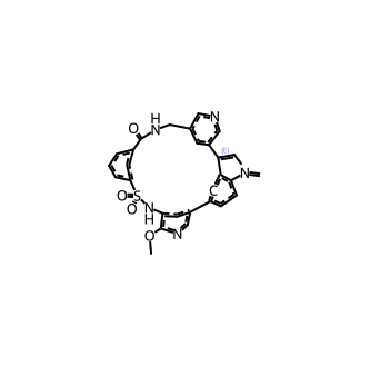 C=Nc1ccc2cc1/C(=C\C)c1cncc(c1)CNC(=O)c1cccc(c1)S(=O)(=O)Nc1cc-2cnc1OC